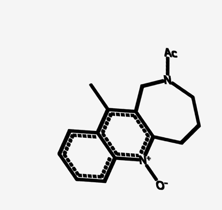 CC(=O)N1CCCc2c(c(C)c3ccccc3[n+]2[O-])C1